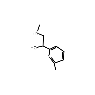 CNCC(O)c1cccc(C)n1